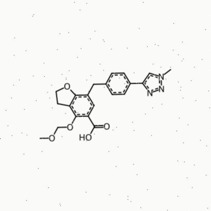 COCOc1c(C(=O)O)cc(Cc2ccc(-c3cn(C)nn3)cc2)c2c1CCO2